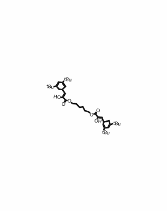 CC(C)(C)C1=CC(C=C(O)C(=O)OCCCCCCOC(=O)C(O)=CC2C=C(C(C)(C)C)C=C(C(C)(C)C)C2)CC(C(C)(C)C)=C1